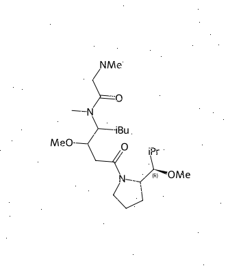 CCC(C)C(C(CC(=O)N1CCCC1[C@H](OC)C(C)C)OC)N(C)C(=O)CNC